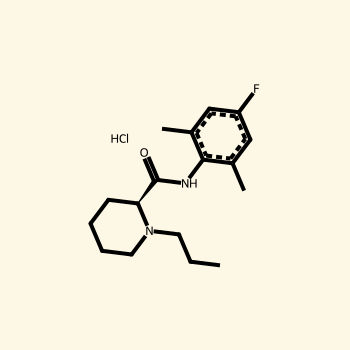 CCCN1CCCC[C@H]1C(=O)Nc1c(C)cc(F)cc1C.Cl